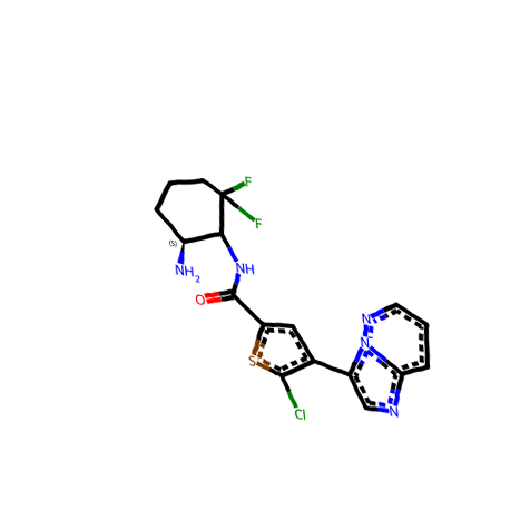 N[C@H]1CCCC(F)(F)C1NC(=O)c1cc(-c2cnc3cccnn23)c(Cl)s1